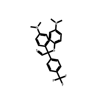 CN(C)c1ccc(SC(C=S)(c2ccc(N(C)C)cc2)c2ccc(C(F)(F)F)cc2)cc1